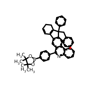 CC1(C)OB(c2ccc(-c3nc4ccccc4c4cc5c(cc34)C3=C(CCC=C3)C5(Cc3ccccc3)c3ccccc3)cc2)OC1(C)C